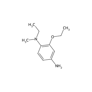 CCOc1cc(N)ccc1N(C)CC